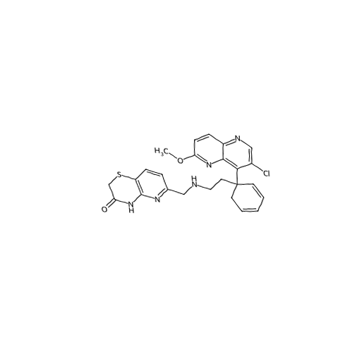 COc1ccc2ncc(Cl)c(C3(CCNCc4ccc5c(n4)NC(=O)CS5)C=CC=CC3)c2n1